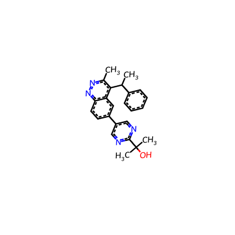 Cc1nnc2ccc(-c3cnc(C(C)(C)O)nc3)cc2c1C(C)c1ccccc1